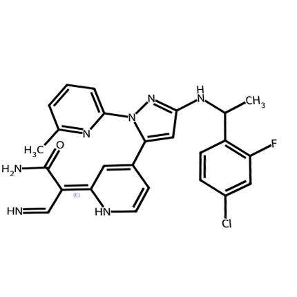 Cc1cccc(-n2nc(NC(C)c3ccc(Cl)cc3F)cc2C2=C/C(=C(/C=N)C(N)=O)NC=C2)n1